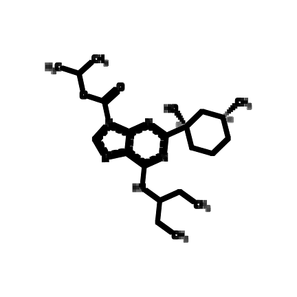 CCC(CC)Nc1nc([C@]2(O)CCC[C@@H](C)C2)nc2c1ncn2C(=O)OC(C)C